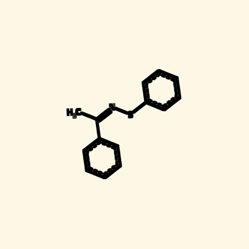 CC(=NSc1ccccc1)c1ccccc1